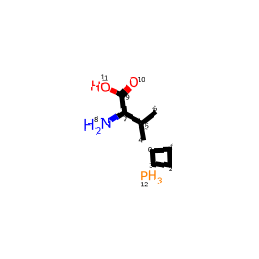 C1CCC1.CC(C)C(N)C(=O)O.P